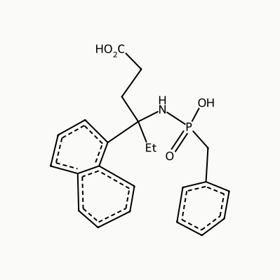 CCC(CCC(=O)O)(NP(=O)(O)Cc1ccccc1)c1cccc2ccccc12